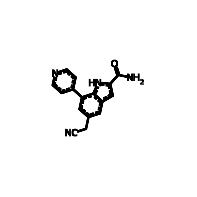 N#CCc1cc(-c2ccncc2)c2[nH]c(C(N)=O)cc2c1